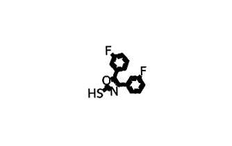 Fc1cccc(-c2nc(S)oc2-c2cccc(F)c2)c1